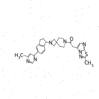 Cc1cc(-c2ccc3c(c2)CCC3N2CC3(CCN(C(=O)Cc4cnc5sc(C)nn45)CC3)C2)ncn1